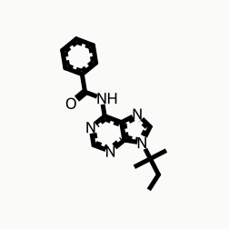 CCC(C)(C)n1cnc2c(NC(=O)c3ccccc3)ncnc21